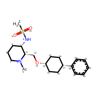 CC(=O)N1CCC[C@H](NS(C)(=O)=O)[C@@H]1CO[C@H]1CC[C@@H](c2ccccc2)CC1